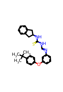 CC(C)(C)c1ccc(Oc2cccc(N=CNC(=S)NC3Cc4ccccc4C3)c2)cc1